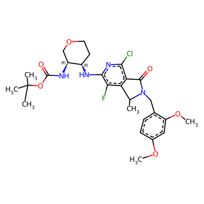 COc1ccc(CN2C(=O)c3c(Cl)nc(N[C@@H]4CCOC[C@@H]4NC(=O)OC(C)(C)C)c(F)c3C2C)c(OC)c1